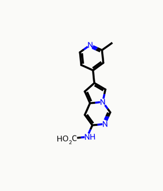 Cc1cc(-c2cc3cc(NC(=O)O)ncn3c2)ccn1